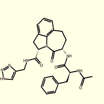 CC(=O)N[C@@H](Cc1ccccc1)C(=O)N[C@H]1CCc2cccc3c2N(C1=O)[C@H](C(=O)NCc1c[nH]nn1)C3